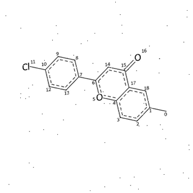 Cc1ccc2oc(-c3ccc(Cl)cc3)cc(=O)c2c1